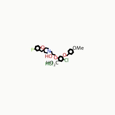 COc1ccc(COc2cc(OC[C@H](O)CN3CCC4(CC3)Cc3cc(F)ccc3O4)c(C(=O)O)cc2Cl)cc1.Cl